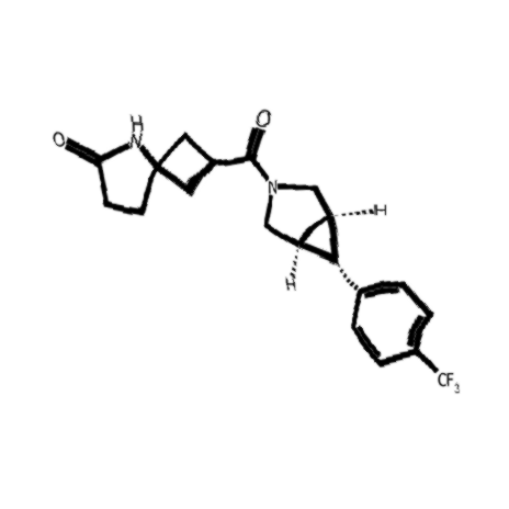 O=C1CCC2(CC(C(=O)N3C[C@@H]4[C@H](C3)[C@H]4c3ccc(C(F)(F)F)cc3)C2)N1